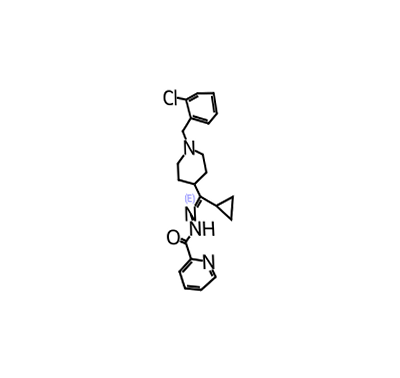 O=C(N/N=C(\C1CC1)C1CCN(Cc2ccccc2Cl)CC1)c1ccccn1